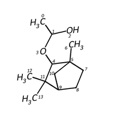 CC(O)OC1C2(C)CCC(C2)C1(C)C